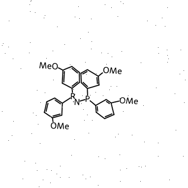 COc1cccc(P([N]P(c2cccc(OC)c2)c2cccc(OC)c2)c2cccc(OC)c2)c1